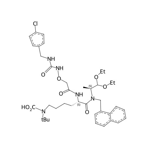 CCOC(OCC)[C@H](C)N(Cc1cccc2ccccc12)C(=O)[C@H](CCCCN(C(=O)O)C(C)(C)C)NC(=O)CONC(=O)NCc1ccc(Cl)cc1